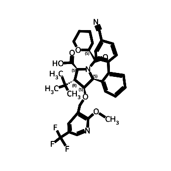 COc1ncc(C(F)(F)F)cc1CO[C@H]1[C@H](C(C)(C)C)[C@@H](C(=O)O)N(C(=O)[C@@H]2CCCCO2)[C@H]1c1ccccc1-c1ccc(C#N)cc1